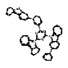 c1ccc(-c2ccc3c4ccccc4n(-c4nc(-c5cccc(-c6ccc7c(c6)sc6ccccc67)c5)nc(-n5c6ccccc6c6ccccc65)n4)c3c2)cc1